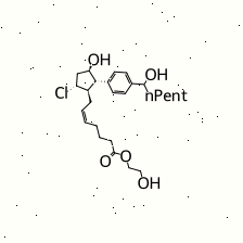 CCCCCC(O)c1ccc([C@@H]2[C@@H](C/C=C\CCCC(=O)OCCO)[C@H](Cl)C[C@H]2O)cc1